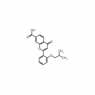 CC(C)COc1ccccc1-c1cc(=O)c2ccc(C(=O)O)cc2o1